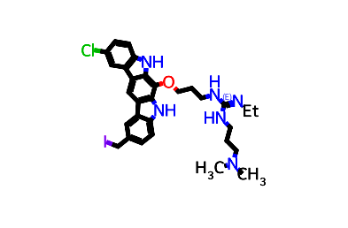 CC/N=C(/NCCCOc1c2[nH]c3ccc(Cl)cc3c2cc2c1[nH]c1ccc(CI)cc12)NCCCN(C)C